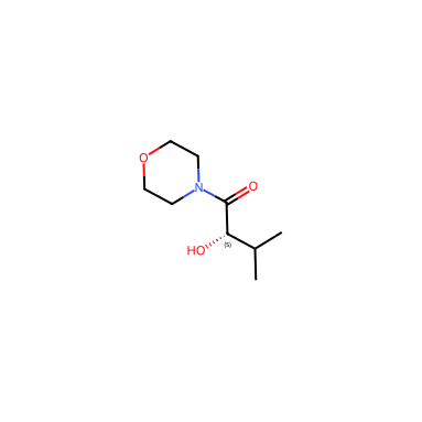 CC(C)[C@H](O)C(=O)N1CCOCC1